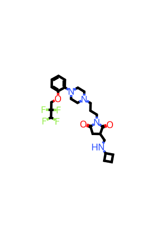 O=C1CC(CNC2CCC2)C(=O)N1CCCN1CCN(c2ccccc2OCC(F)(F)C(F)F)CC1